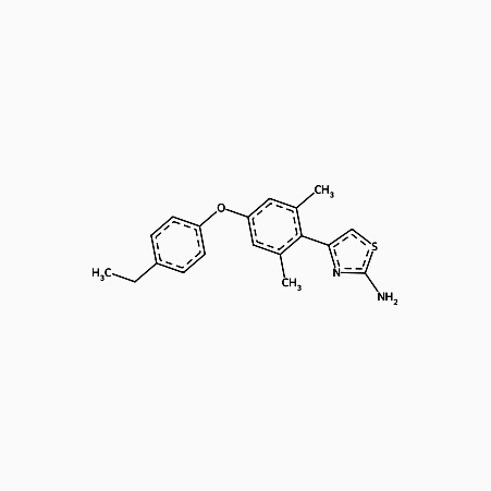 CCc1ccc(Oc2cc(C)c(-c3csc(N)n3)c(C)c2)cc1